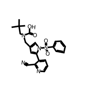 CC(C)(C)CN(Cc1cc(-c2cccnc2C#N)n(S(=O)(=O)c2ccccc2)c1)C(=O)O